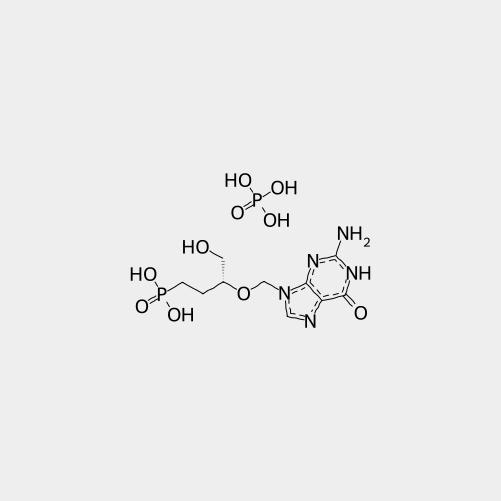 Nc1nc2c(ncn2CO[C@@H](CO)CCP(=O)(O)O)c(=O)[nH]1.O=P(O)(O)O